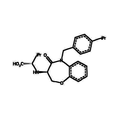 CC(C)c1ccc(CN2C(=O)[C@H](N[C@H](C(=O)O)C(C)C)COc3ccccc32)cc1